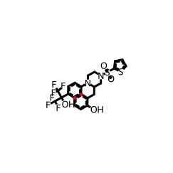 O=S(=O)(c1cccs1)N1CCN(c2ccc(C(O)(C(F)(F)F)C(F)(F)F)cc2)C(Cc2ccccc2O)C1